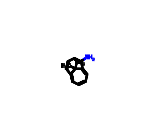 CC1(C)C2=CC=CC=C1C(N)=CC=C2